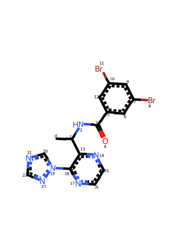 CC(NC(=O)c1cc(Br)cc(Br)c1)c1nccnc1-n1cncn1